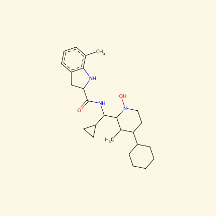 Cc1cccc2c1NC(C(=O)NC(C1CC1)C1C(C)C(C3CCCCC3)CCN1O)C2